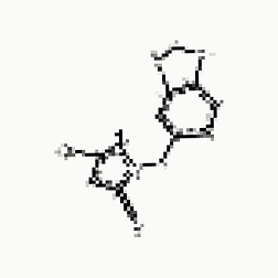 Nc1cc(=O)n(Cc2ccc3c(c2)OCO3)[nH]1